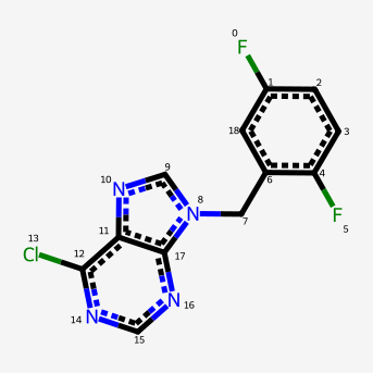 Fc1ccc(F)c(Cn2cnc3c(Cl)ncnc32)c1